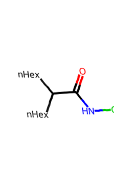 CCCCCCC(CCCCCC)C(=O)NCl